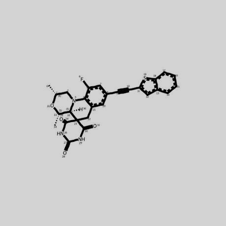 C[C@@H]1CN2c3c(F)cc(C#Cc4cc5ccccc5s4)cc3CC3(C(=O)NC(=O)NC3=O)[C@H]2[C@H](C)O1